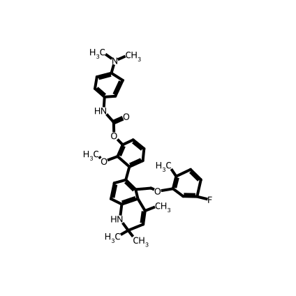 COc1c(OC(=O)Nc2ccc(N(C)C)cc2)cccc1-c1ccc2c(c1COc1cc(F)ccc1C)C(C)=CC(C)(C)N2